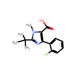 Cn1c(C(C)(C)C)nc(-c2ccccc2F)c1C(=O)O